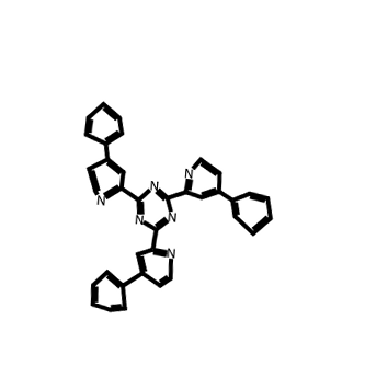 c1ccc(-c2ccnc(-c3nc(-c4cc(-c5ccccc5)ccn4)nc(-c4cc(-c5ccccc5)ccn4)n3)c2)cc1